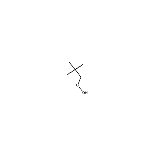 CC(C)(C)COO